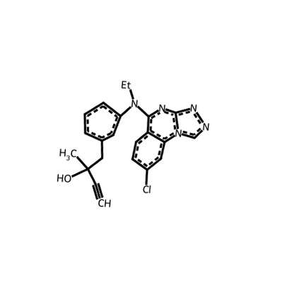 C#CC(C)(O)Cc1cccc(N(CC)c2nc3nncn3c3cc(Cl)ccc23)c1